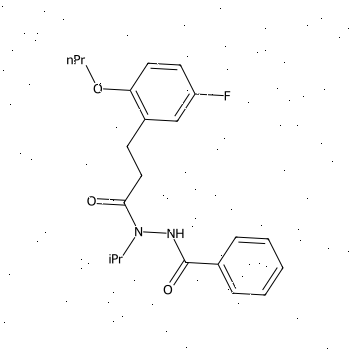 CCCOc1ccc(F)cc1CCC(=O)N(NC(=O)c1ccccc1)C(C)C